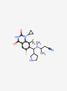 Cc1c(C(C2CCNC2)N(C)C(C)CC#N)c(F)cc2c(=O)[nH]c(=O)n(C3CC3)c12